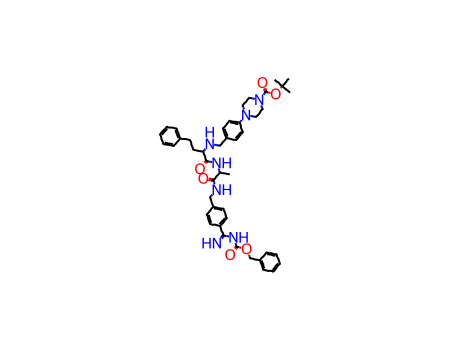 CC(NC(=O)C(CCc1ccccc1)NCc1ccc(N2CCN(C(=O)OC(C)(C)C)CC2)cc1)C(=O)NCc1ccc(C(=N)NC(=O)OCc2ccccc2)cc1